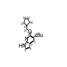 CC(C)(C)c1cc2cc[nH]c2nc1OCC1CCCC1